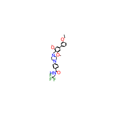 CCOc1cccc(-c2cc(OC)c(CN3CCN(c4ccc(C(=O)NCC(F)(F)F)cc4)CC3)c(OC)c2)c1